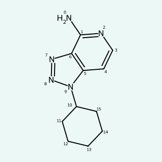 Nc1nccc2c1nnn2C1CCCCC1